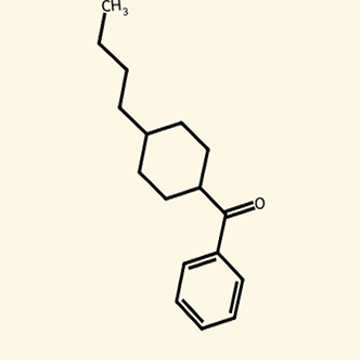 CCCCC1CCC(C(=O)c2ccccc2)CC1